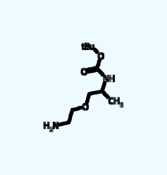 CC(COCCN)NC(=O)OC(C)(C)C